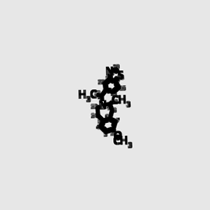 COc1ccc2c(c1)CC(C)N(C(C)c1ccc3scnc3c1)CC2